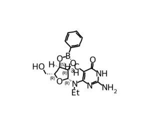 CCN(c1nc(N)[nH]c(=O)c1C)[C@@H]1O[C@H](CO)[C@H]2OB(c3ccccc3)O[C@H]21